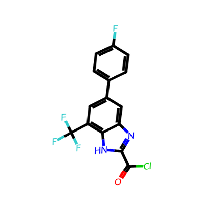 O=C(Cl)c1nc2cc(-c3ccc(F)cc3)cc(C(F)(F)F)c2[nH]1